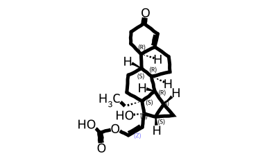 CC[C@]12CC[C@H]3[C@@H](CCC4=CC(=O)CC[C@@H]43)[C@@H]1[C@@H]1C[C@@H]1[C@@]2(O)/C=C\OC(=O)O